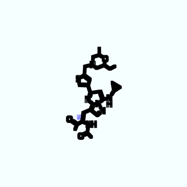 CCC1CN(Cc2cc(-c3cc(NC4CC4)n4ncc(/C=C(\NC(C)=O)C(C)=O)c4n3)cs2)CC(C)O1